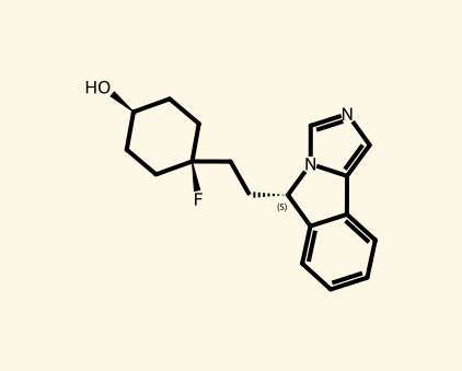 O[C@H]1CC[C@](F)(CC[C@H]2c3ccccc3-c3cncn32)CC1